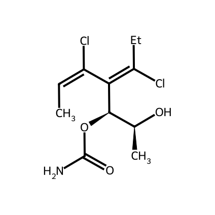 C/C=C(Cl)\C(=C(\Cl)CC)[C@H](OC(N)=O)[C@H](C)O